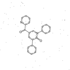 O=C(c1cc(-c2ccccc2)c(=O)n(-c2ccccc2)c1)c1ccccn1